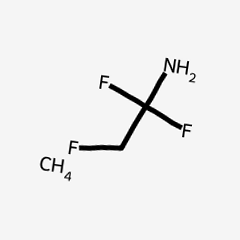 C.NC(F)(F)CF